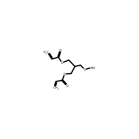 C=CC(=O)OCC(COCCCC)COC(=O)C=C